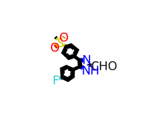 CS(=O)(=O)c1ccc(-c2nc(C=O)[nH]c2-c2ccc(F)cc2)cc1